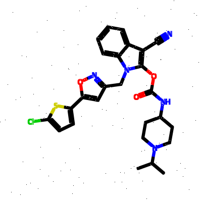 CC(C)N1CCC(NC(=O)Oc2c(C#N)c3ccccc3n2Cc2cc(-c3ccc(Cl)s3)on2)CC1